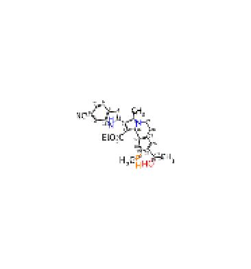 CCOC(=O)c1c(C2Cc3ccc(C#N)cc3N2)c(C)n2c1-c1cc(PC)c(C(C)O)cc1CC2